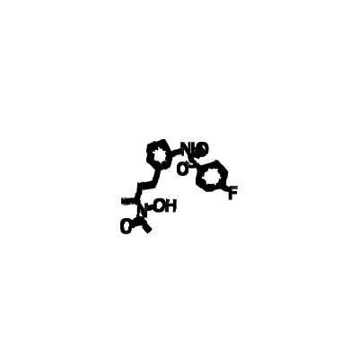 CC(=O)N(O)C(C)/C=C/c1cccc(NS(=O)(=O)c2ccc(F)cc2)c1